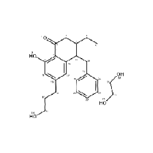 CCC1CC(=O)c2c(O)cc(CCCO)cc2C1Cc1ccccc1.OCCO